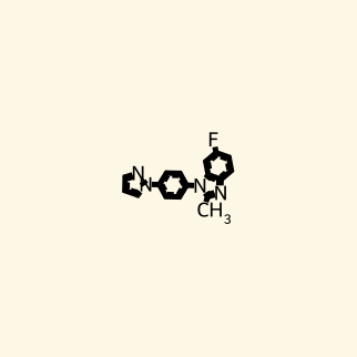 Cc1nc2ccc(F)cc2n1-c1ccc(-n2cccn2)cc1